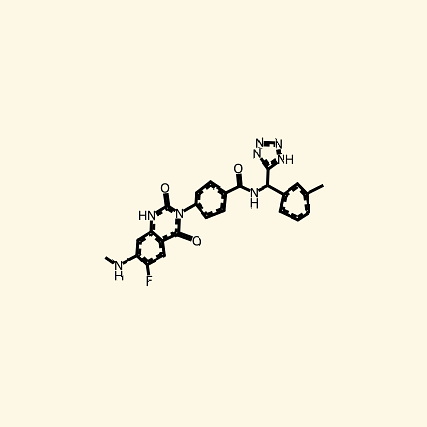 CNc1cc2[nH]c(=O)n(-c3ccc(C(=O)NC(c4cccc(C)c4)c4nnn[nH]4)cc3)c(=O)c2cc1F